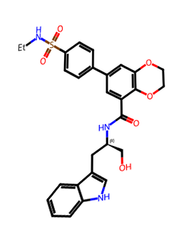 CCNS(=O)(=O)c1ccc(-c2cc3c(c(C(=O)N[C@@H](CO)Cc4c[nH]c5ccccc45)c2)OCCO3)cc1